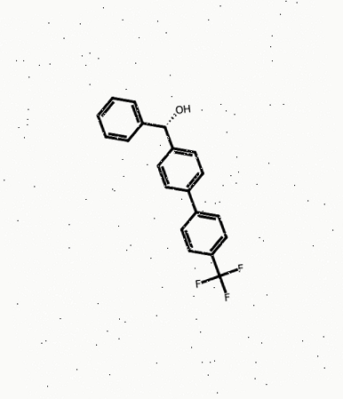 O[C@@H](c1ccccc1)c1ccc(-c2ccc(C(F)(F)F)cc2)cc1